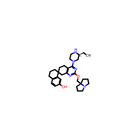 N#CC[C@H]1CN(c2nc(OCC34CCCN3CCC4)nc3c2CCC2(CCCc4ccc(O)cc42)C3)CCN1